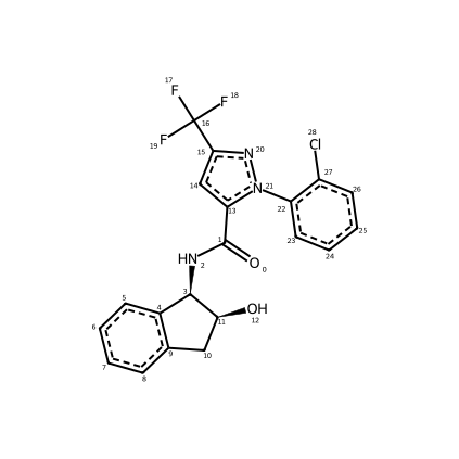 O=C(N[C@@H]1c2ccccc2C[C@@H]1O)c1cc(C(F)(F)F)nn1-c1ccccc1Cl